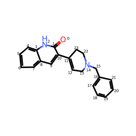 O=c1[nH]c2ccccc2cc1C1=CCN(Cc2ccccc2)CC1